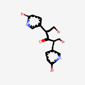 O=C(C(CBr)c1ccc(Br)nc1)C(CBr)c1ccc(Br)nc1